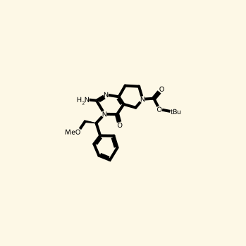 COC[C@H](c1ccccc1)n1c(N)nc2c(c1=O)CN(C(=O)OC(C)(C)C)CC2